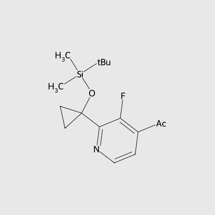 [CH2]C(=O)c1ccnc(C2(O[Si](C)(C)C(C)(C)C)CC2)c1F